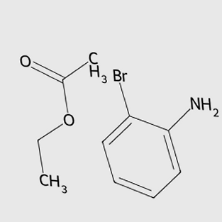 CCOC(C)=O.Nc1ccccc1Br